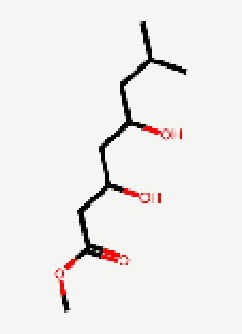 COC(=O)CC(O)CC(O)CC(C)C